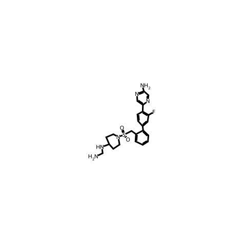 NCNC1CCN(S(=O)(=O)Cc2ccccc2-c2ccc(-c3cnc(N)cn3)c(F)c2)CC1